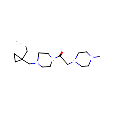 COCC1(CN2CCN(C(=O)CN3CCN(C)CC3)CC2)CC1